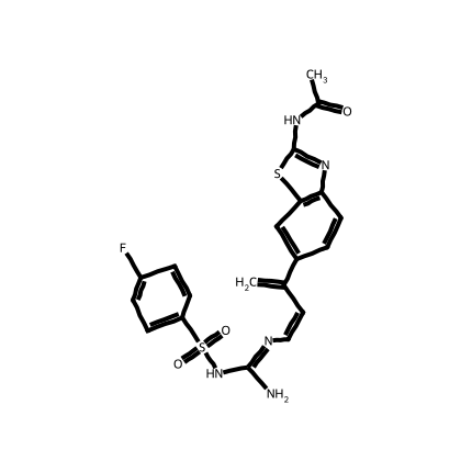 C=C(/C=C\N=C(/N)NS(=O)(=O)c1ccc(F)cc1)c1ccc2nc(NC(C)=O)sc2c1